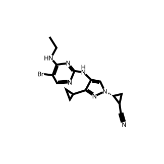 CCNc1nc(Nc2cn([C@@H]3CC3C#N)nc2C2CC2)ncc1Br